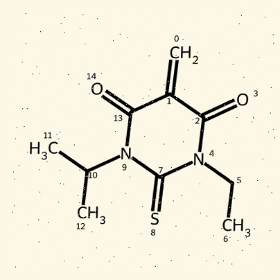 C=C1C(=O)N(CC)C(=S)N(C(C)C)C1=O